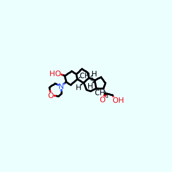 C[C@]12CC[C@H]3[C@@H](CCC4CC(O)C(N5CCOCC5)C[C@@]43C)[C@@H]1CC[C@@H]2C(=O)CO